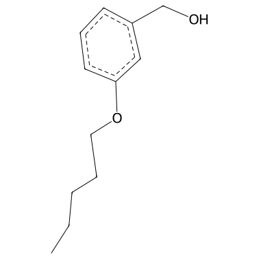 CCCCCOc1cccc(CO)c1